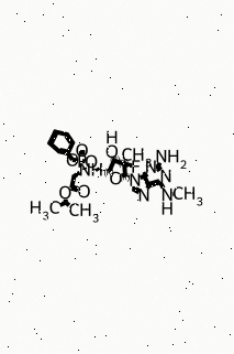 CNc1nc(N)nc2c1ncn2[C@@H]1O[C@H](COP(=O)(NCC(=O)OC(C)C)Oc2ccccc2)[C@@H](O)[C@@]1(C)F